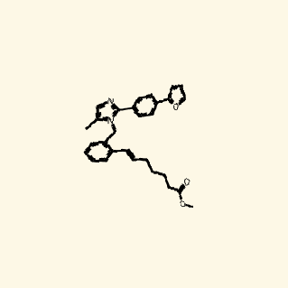 COC(=O)CCCCC=Cc1ccccc1Cn1c(C)cnc1-c1ccc(-c2ccco2)cc1